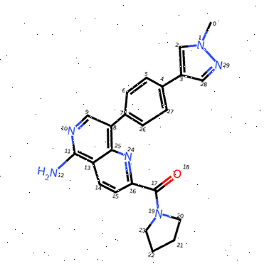 Cn1cc(-c2ccc(-c3cnc(N)c4ccc(C(=O)N5CCCC5)nc34)cc2)cn1